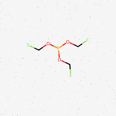 FCOP(OCF)OCF